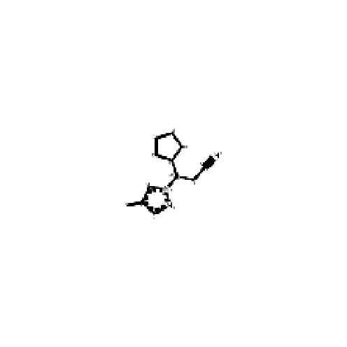 Cc1cnn([C@H](CC#N)C2CCCC2)c1